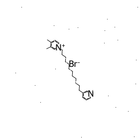 Cc1cc[n+](CCCCCCCCCCCCc2cccnc2)cc1C.[Br-]